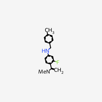 C=C(NC)c1ccc(NCc2ccc(C)cc2)cc1F